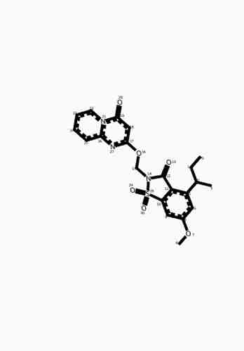 CCC(C)c1cc(OC)cc2c1C(=O)N(COc1cc(=O)n3ccccc3n1)S2(=O)=O